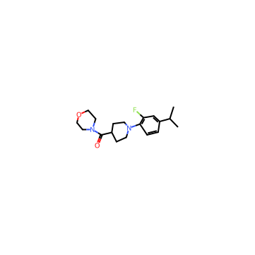 CC(C)c1ccc(N2CCC(C(=O)N3CCOCC3)CC2)c(F)c1